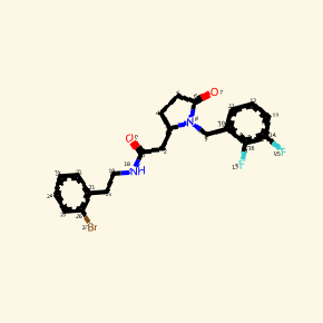 O=C(CC1CCC(=O)N1Cc1cccc(F)c1F)NCCc1ccccc1Br